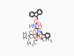 CCOC(CN(CCc1ccccc1)C(=O)[C@H](COC(C)(C)C)NC(=O)OCC1c2ccccc2-c2ccccc21)OCC